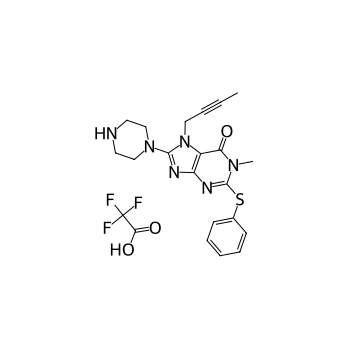 CC#CCn1c(N2CCNCC2)nc2nc(Sc3ccccc3)n(C)c(=O)c21.O=C(O)C(F)(F)F